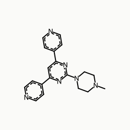 CN1CCN(c2nc(-c3ccncc3)cc(-c3ccncc3)n2)CC1